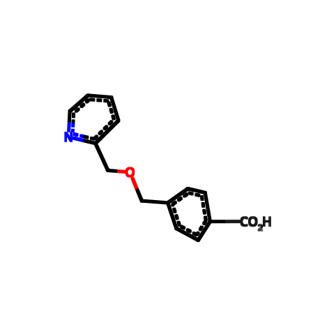 O=C(O)c1ccc(COCc2ccccn2)cc1